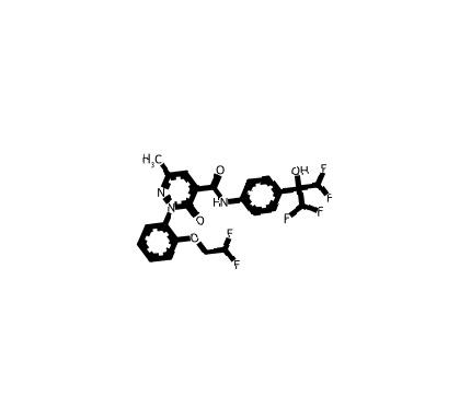 Cc1cc(C(=O)Nc2ccc(C(O)(C(F)F)C(F)F)cc2)c(=O)n(-c2ccccc2OCC(F)F)n1